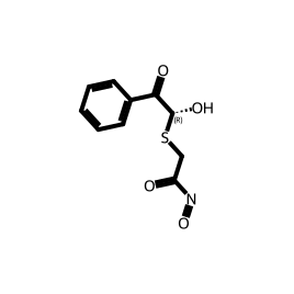 O=NC(=O)CS[C@@H](O)C(=O)c1ccccc1